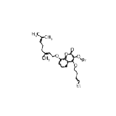 CC/C=C/CCOc1c(OC(C)C)c(=O)oc2c(OC/C=C(\C)CCC=C(C)C)cccc12